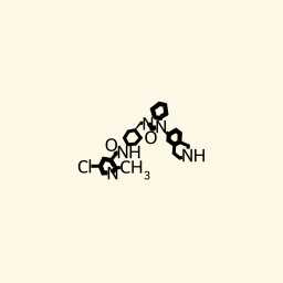 Cc1ncc(Cl)cc1C(=O)N[C@H]1CC[C@H](Cn2c(=O)n(-c3ccc4c(c3)CCNC4)c3ccccc32)CC1